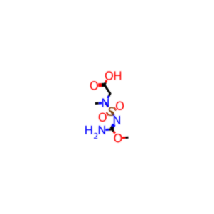 COC(N)=NS(=O)(=O)N(C)CC(=O)O